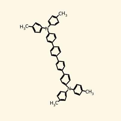 Cc1ccc(N(c2ccc(C)cc2)c2ccc(-c3ccc(-c4ccc(-c5ccc(N(c6ccc(C)cc6)c6ccc(C)cc6)cc5)cc4)cc3)cc2)cc1